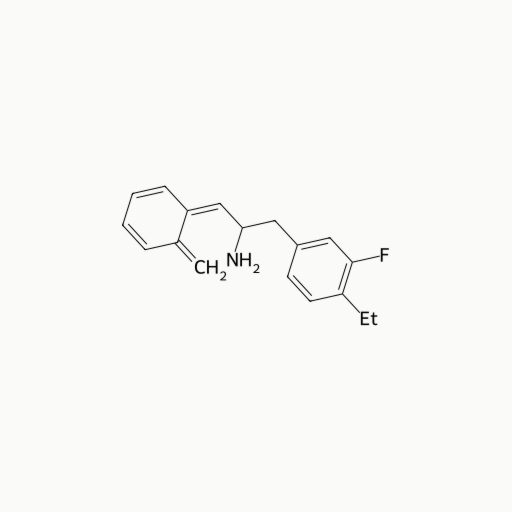 C=c1cccc/c1=C/C(N)Cc1ccc(CC)c(F)c1